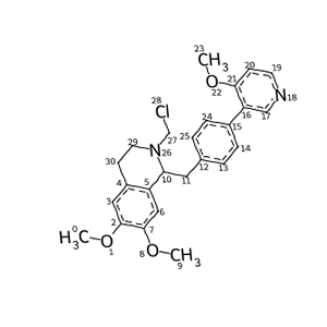 COc1cc2c(cc1OC)C(Cc1ccc(-c3cnccc3OC)cc1)N(CCl)CC2